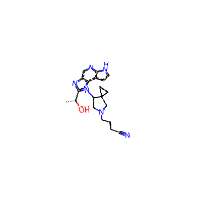 C[C@@H](O)c1nc2cnc3[nH]ccc3c2n1C1CN(CCCC#N)CC12CC2